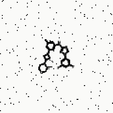 Cc1cc(Nc2ncn(-c3cc(F)cc(F)c3)n2)cc(N2CC(N3CCOC[C@@H]3C)C2)c1